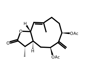 C=C1[C@@H](OC(C)=O)C[C@H]2[C@H](C)C(=O)O[C@@H]2/C=C(\C)CC[C@H]1OC(C)=O